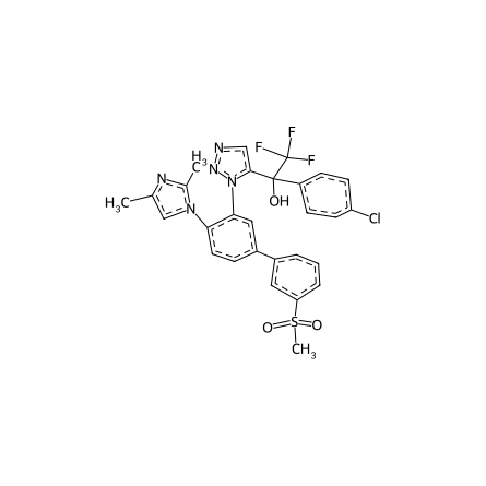 Cc1cn(-c2ccc(-c3cccc(S(C)(=O)=O)c3)cc2-n2nncc2C(O)(c2ccc(Cl)cc2)C(F)(F)F)c(C)n1